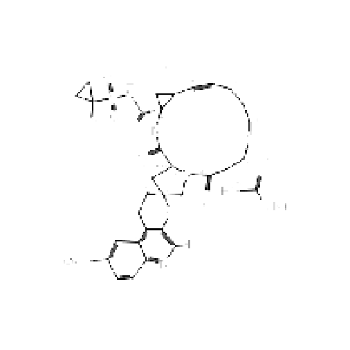 CCc1nc2ccc(OC)cc2c2c1O[C@]1(CC2)C[C@H]2C(=O)N[C@]3(C(=O)NS(=O)(=O)C4(C)CC4)C[C@H]3/C=C\CCCCC[C@H](NC(=O)OCC(C)C)C(=O)N2C1